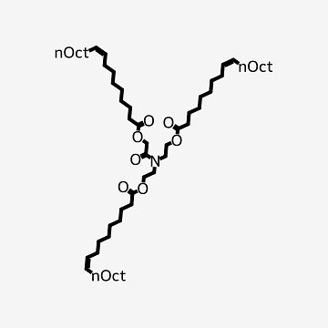 CCCCCCCC/C=C\CCCCCCCC(=O)OCCN(CCOC(=O)CCCCCCC/C=C\CCCCCCCC)C(=O)COC(=O)CCCCCCC/C=C\CCCCCCCC